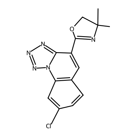 CC1(C)COC(c2cc3ccc(Cl)cc3n3nnnc23)=N1